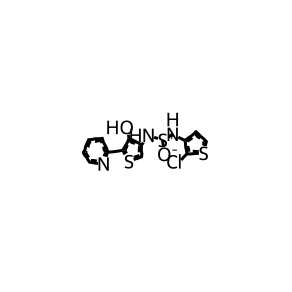 [O-][S+](Nc1ccsc1Cl)Nc1csc(-c2ccccn2)c1O